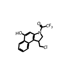 O=C(N1CC(CCl)c2c1cc(O)c1ccccc21)C(F)(F)F